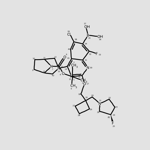 CC(C)(C)OC(=O)N1C2CCC1CN(c1nc(OCC3(CN4CC[C@@H](F)C4)CCC3)nc3c(F)c(B(O)O)c(Cl)cc13)C2